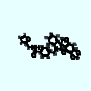 O=C(NCc1ccco1)c1ccc(CN2C(=O)C3(COc4cc5c(cc43)OCO5)c3ccccc32)cc1